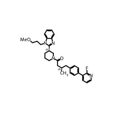 COCCCn1c([C@@H]2CCCN(C(=O)C[C@H](C)Cc3ccc(-c4cccnc4F)cc3)C2)nc2ccccc21